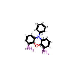 Pc1cccc2c1Oc1c(P)cccc1N2c1ccccc1